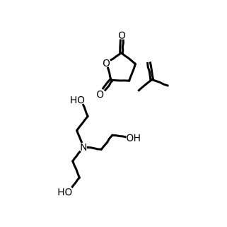 C=C(C)C.O=C1CCC(=O)O1.OCCN(CCO)CCO